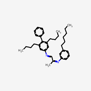 CCCCCCc1cccc(N=C(C)C=Nc2cc(CCCC)c(-c3ccccc3)c(CCCC)c2)c1